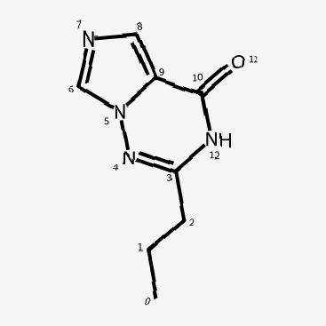 CCCc1nn2cncc2c(=O)[nH]1